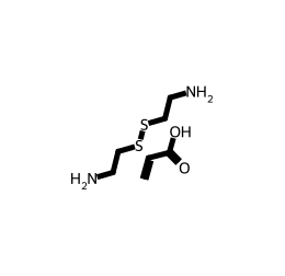 C=CC(=O)O.NCCSSCCN